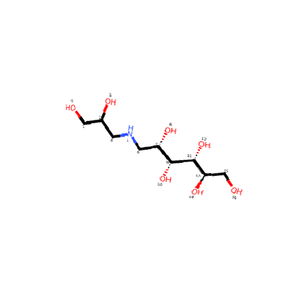 OCC(O)CNC[C@H](O)[C@@H](O)[C@H](O)[C@H](O)CO